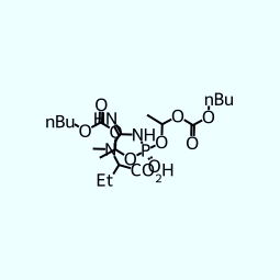 CCCCOC(=O)OC(C)OP(=O)(NC(=N)N(C)C(CC)C(=O)O)OC(C)OC(=O)OCCCC